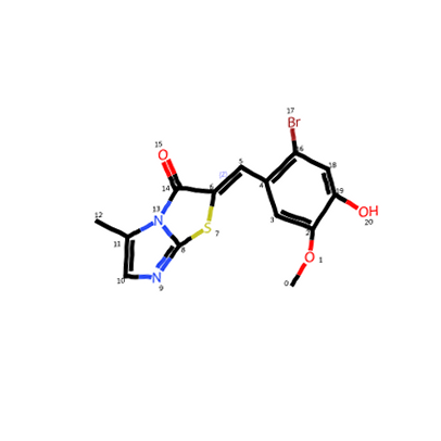 COc1cc(/C=c2\sc3ncc(C)n3c2=O)c(Br)cc1O